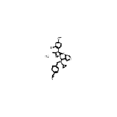 COc1ccc(-c2c(C)nn3c(N(Cc4ccc(C#N)cc4)C4CC4)c4c(nc23)COC4)c(Cl)c1.Cl